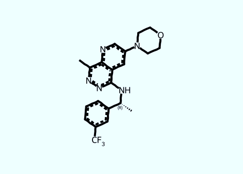 Cc1nnc(N[C@H](C)c2cccc(C(F)(F)F)c2)c2cc(N3CCOCC3)cnc12